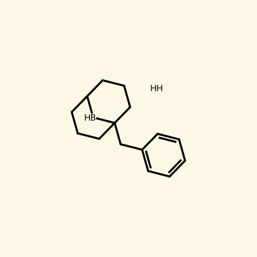 B1C2CCCC1(Cc1ccccc1)CCC2.[HH]